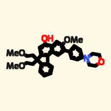 COCCC1(CCOC)c2ccccc2-c2c1cc(O)c1cc(OC)c(-c3ccc(N4CCOCC4)cc3)cc21